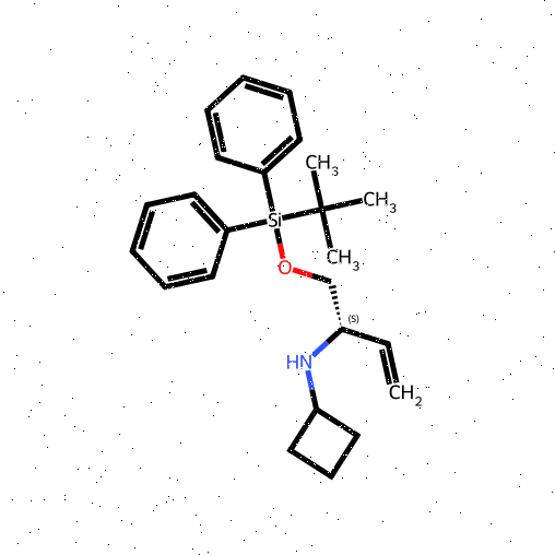 C=C[C@@H](CO[Si](c1ccccc1)(c1ccccc1)C(C)(C)C)NC1CCC1